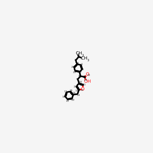 CC(C)Cc1ccc(C(Cc2coc(Cc3ccccc3)c2)C(=O)O)cc1